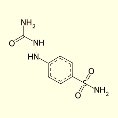 NC(=O)NNc1ccc(S(N)(=O)=O)cc1